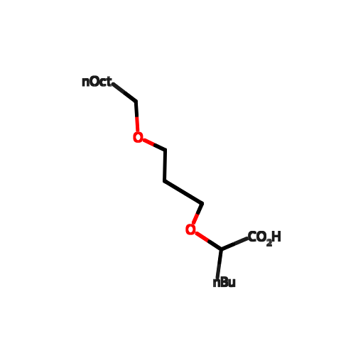 CCCCCCCCCOCCCOC(CCCC)C(=O)O